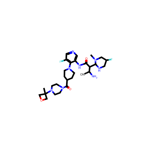 CN1CC(F)CNC1C(C(=O)Nc1cncc(F)c1N1CCC(C(=O)N2CCN(C3(C)COC3)CC2)CC1)C(N)N=O